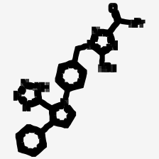 CCCCc1nc(C(=O)CCC)nn1Cc1ccc(-n2ccc(-c3ccccc3)c2-c2nnn[nH]2)cc1